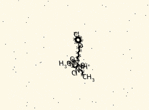 CCCC1N(Cl)C2=C(N(CCCCCCOc3ccc(Cl)cc3)[S+]([O-])N(C)C2)[NH+]1[O-]